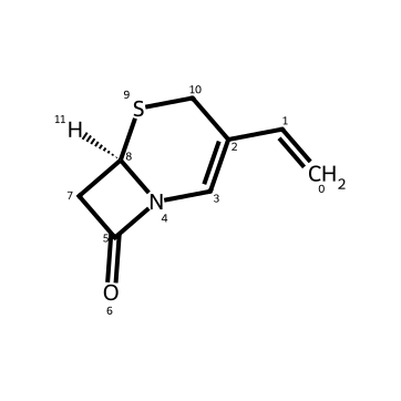 C=CC1=CN2C(=O)C[C@H]2SC1